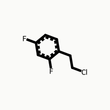 Fc1ccc(CCCl)c(F)c1